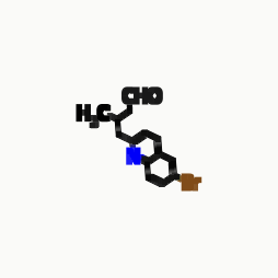 CC(CC=O)Cc1ccc2cc(Br)ccc2n1